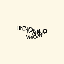 COCc1nn(-c2ccccc2)nc1C(=O)Nc1ccc(N2CCNCC2)nc1